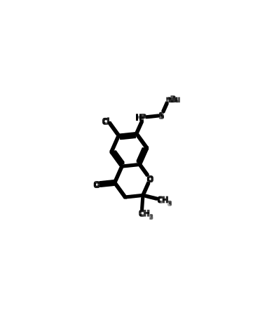 CCCCSPc1cc2c(cc1Cl)C(=O)CC(C)(C)O2